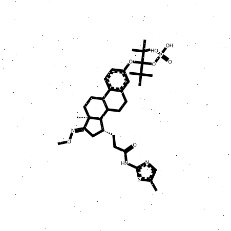 CON=C1C[C@@H](CCC(=O)Nc2ncc(C)s2)C2C3CCc4cc(OC(OP(=O)(O)O)(C(C)(C)C)C(C)(C)C)ccc4C3CC[C@]12C